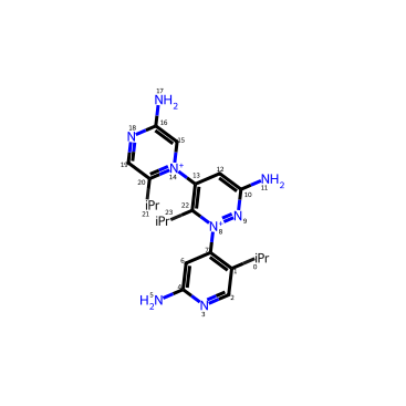 CC(C)c1cnc(N)cc1-[n+]1nc(N)cc(-[n+]2cc(N)ncc2C(C)C)c1C(C)C